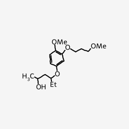 CCC(CC(C)O)Oc1ccc(OC)c(OCCCOC)c1